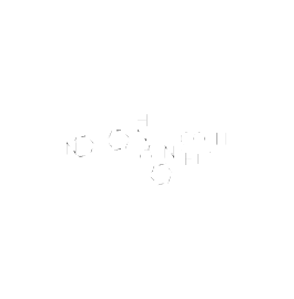 CCC(C(=O)O)N(CC(=O)Nc1ccc(-c2ccncc2)cc1)c1ccccc1